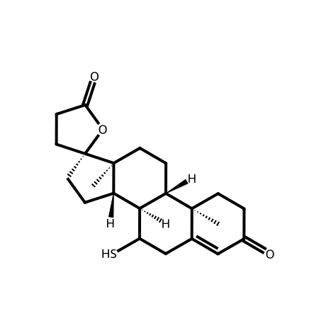 C[C@]12CCC(=O)C=C1CC(S)[C@@H]1[C@@H]2CC[C@@]2(C)[C@H]1CC[C@@]21CCC(=O)O1